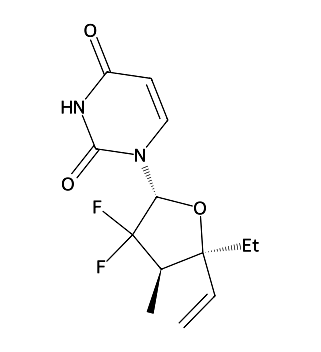 C=C[C@]1(CC)O[C@@H](n2ccc(=O)[nH]c2=O)C(F)(F)[C@@H]1C